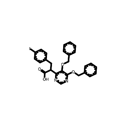 O=C(O)C(Cc1ccc(I)cc1)c1ncnc(OCc2ccccc2)c1OCc1ccccc1